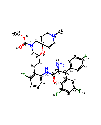 CC(=O)N1CCC2(CC1)CN(C(=O)OC(C)(C)C)CC(CCc1c(F)cccc1NC(=O)[C@@H](N)[C@@H](c1ccc(Cl)cc1)c1cc(F)cc(F)c1)O2